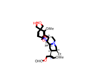 CC[C@@H]1CN2CC[C@@]34OCCO[C@@]3(N=C3C=CC(CO)(CO)C(OC)=C34)[C@@H]2C[C@@H]1/C(=C\OC)COC=O